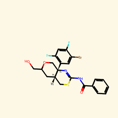 O=C(NC1=N[C@@]2(c3cc(Br)c(F)cc3F)COC(CO)C[C@H]2CS1)c1ccccc1